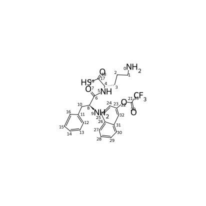 NCCC[C@H](NC(=O)[C@@H](N)Cc1ccccc1)C(=O)S.O=C(Oc1ccc2ccccc2c1)C(F)(F)F